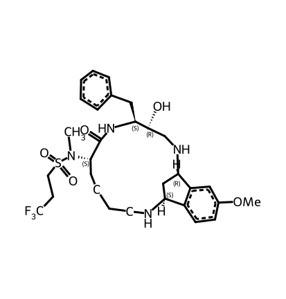 COc1ccc2c(c1)[C@H]1C[C@@H]2NCCCC[C@H](N(C)S(=O)(=O)CCC(F)(F)F)C(=O)N[C@@H](Cc2ccccc2)[C@H](O)CN1